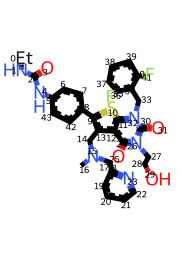 CCNC(=O)Nc1ccc(-c2sc3c(c2CN(C)Cc2ccccn2)c(=O)n(CCO)c(=O)n3Cc2c(F)cccc2F)cc1